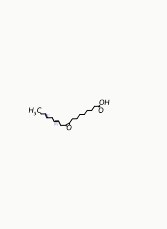 CC/C=C/C/C=C/CC1OC1CCCCCCCC(=O)O